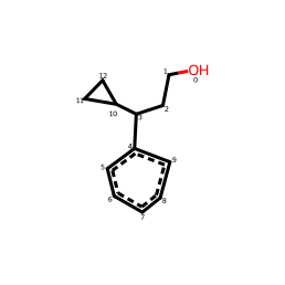 OCCC(c1ccccc1)C1CC1